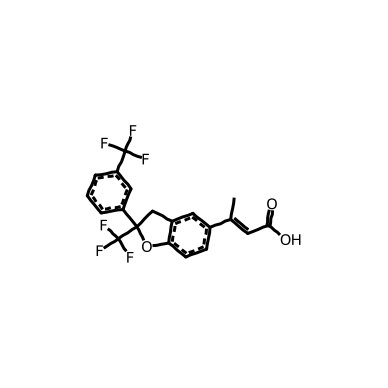 C/C(=C\C(=O)O)c1ccc2c(c1)CC(c1cccc(C(F)(F)F)c1)(C(F)(F)F)O2